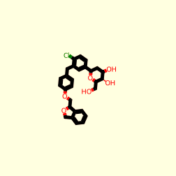 OCC1OC(c2ccc(Cl)c(Cc3ccc(OCC4OCc5ccccc54)cc3)c2)CC(O)[C@@H]1O